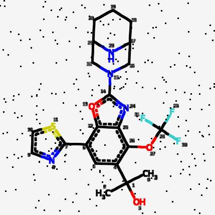 CC(C)(O)c1cc(-c2nccs2)c2oc(N3CC4CCCC(C3)N4)nc2c1OC(F)(F)F